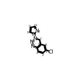 Clc1ccc2c(c1)CN(n1cccn1)N=N2